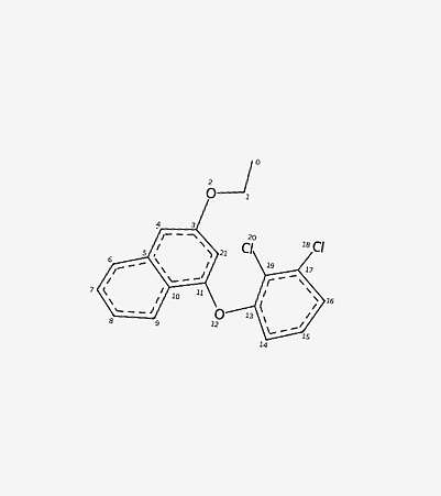 CCOc1[c]c2ccccc2c(Oc2cccc(Cl)c2Cl)c1